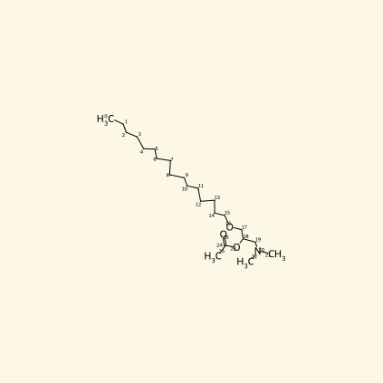 CCCCCCCCCCCCCCCCOCC(CN(C)C)OC(C)=O